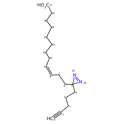 C#CCCCC1(CC/C=C\CCCCCCCC(=O)O)N=N1